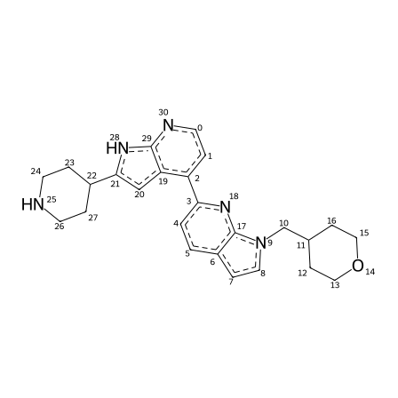 c1cc(-c2ccc3ccn(CC4CCOCC4)c3n2)c2cc(C3CCNCC3)[nH]c2n1